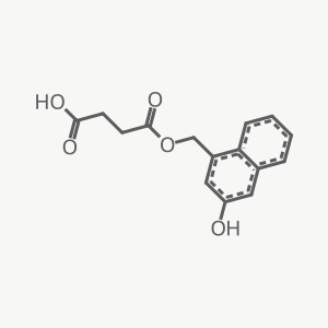 O=C(O)CCC(=O)OCc1cc(O)cc2ccccc12